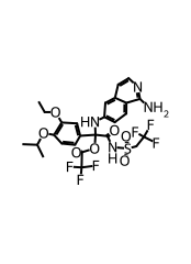 CCOc1cc(C(Nc2ccc3c(N)nccc3c2)(OC(=O)C(F)(F)F)C(=O)NS(=O)(=O)CC(F)(F)F)ccc1OC(C)C